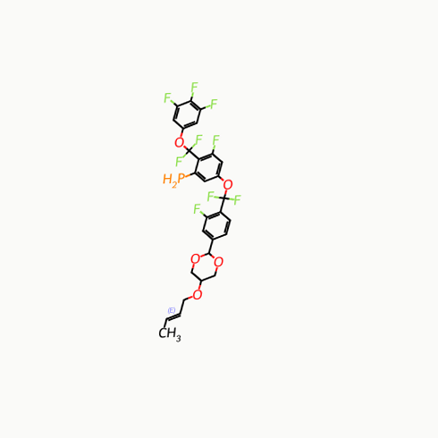 C/C=C/COC1COC(c2ccc(C(F)(F)Oc3cc(F)c(C(F)(F)Oc4cc(F)c(F)c(F)c4)c(P)c3)c(F)c2)OC1